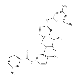 Cc1cc(Nc2ncc3c(n2)N(C)C(=O)N(c2cc(NC(=O)c4cccc(C(F)(F)F)c4)ccc2C)C3)cc(C)n1